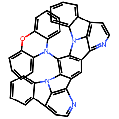 c1ccc2c(c1)Oc1ccccc1N2c1c2c(cc3c4nccc5c6ccccc6n(c13)c54)c1nccc3c4ccccc4n2c31